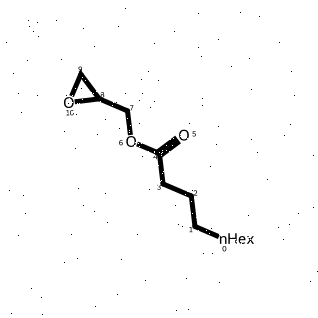 CCCCCCCCCC(=O)OCC1CO1